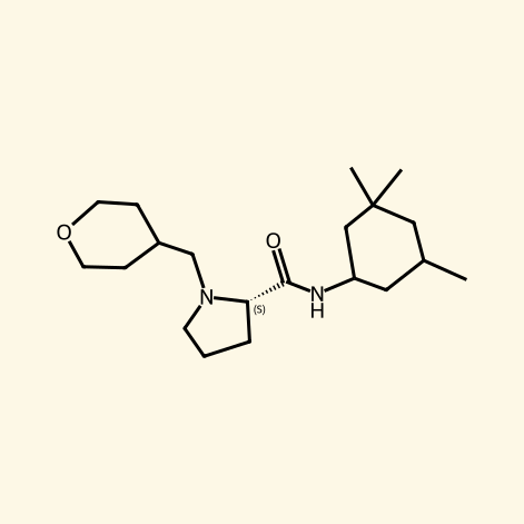 CC1CC(NC(=O)[C@@H]2CCCN2CC2CCOCC2)CC(C)(C)C1